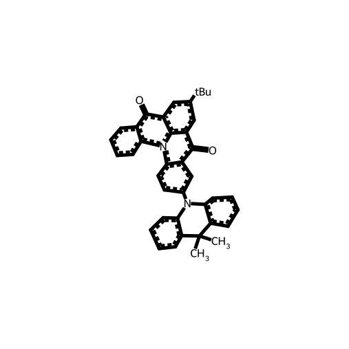 CC(C)(C)c1cc2c(=O)c3ccccc3n3c4ccc(N5c6ccccc6C(C)(C)c6ccccc65)cc4c(=O)c(c1)c23